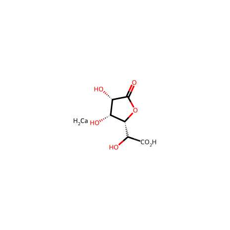 O=C(O)C(O)[C@H]1OC(=O)[C@@H](O)[C@H]1O.[CaH2]